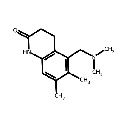 Cc1cc2c(c(CN(C)C)c1C)CCC(=O)N2